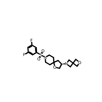 O=S(=O)(c1cc(F)cc(F)c1)N1CCC2(CC1)C[C@@H](N1CC3(COC3)C1)CO2